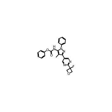 Cc1c(-c2cnc(C3(F)COC3)nc2)nn(-c2ccccc2)c1NC(=O)Oc1ccccc1